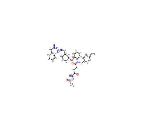 N#Cc1ccc(CN(C(=O)CCC(=O)NOC(=O)C(F)(F)F)c2ccccc2Oc2cccc(CN)c2)cc1.c1ccc2c(c1)CCNC2